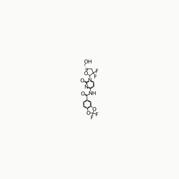 O=C(Nc1ccn(C2O[C@H](CO)CC2(F)F)c(=O)n1)c1ccc2c(c1)OC(F)(F)O2